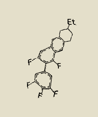 CCC1CCc2cc3c(F)c(-c4cc(F)c(F)c(F)c4)c(F)cc3cc2C1